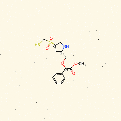 COC(=O)[C@H](OC[C@@H]1C[C@@H](S(=O)(=O)CS)CN1)c1ccccc1